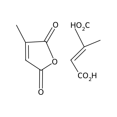 C/C(=C\C(=O)O)C(=O)O.CC1=CC(=O)OC1=O